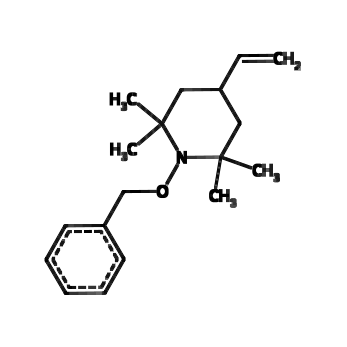 C=CC1CC(C)(C)N(OCc2ccccc2)C(C)(C)C1